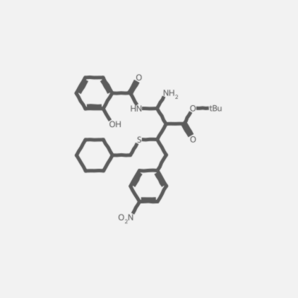 CC(C)(C)OC(=O)C(C(N)NC(=O)c1ccccc1O)C(Cc1ccc([N+](=O)[O-])cc1)SCC1CCCCC1